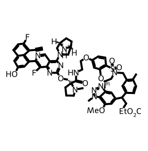 C#Cc1c(F)ccc2cc(O)cc(-c3ncc4c(N5C[C@H]6CC[C@@H](C5)N6)nc(OC[C@@]5(C(=O)NCCOc6ccc7c(c6)O[C@H](C)CN(Cc6cc(C(CC(=O)OCC)c8cc(OC)c9c(c8)nnn9C)ccc6C)S7(=O)=O)CCCN5C)nc4c3F)c12